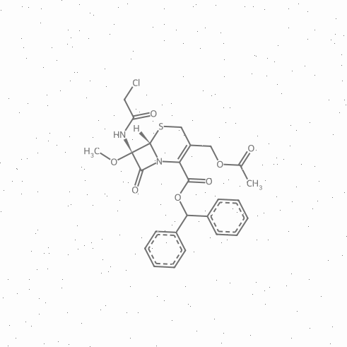 CO[C@@]1(NC(=O)CCl)C(=O)N2C(C(=O)OC(c3ccccc3)c3ccccc3)=C(COC(C)=O)CS[C@H]21